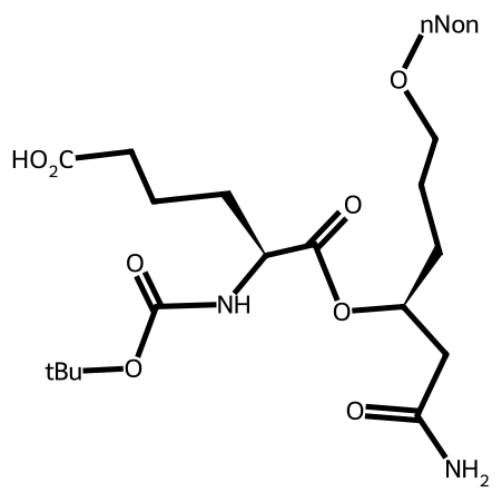 CCCCCCCCCOCCC[C@@H](CC(N)=O)OC(=O)[C@H](CCCC(=O)O)NC(=O)OC(C)(C)C